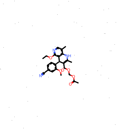 CCOc1ncc(C)c2c1C(c1ccc(C#N)cc1OC)C(C(=O)OCOC(C)=O)=C(C)N2